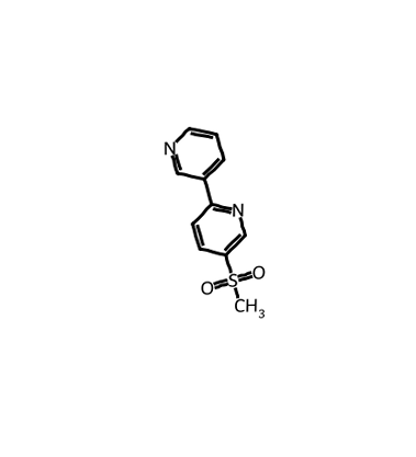 CS(=O)(=O)c1ccc(-c2cccnc2)nc1